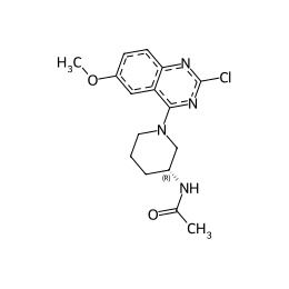 COc1ccc2nc(Cl)nc(N3CCC[C@@H](NC(C)=O)C3)c2c1